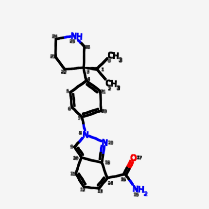 CC(C)[C@@]1(c2ccc(-n3cc4cccc(C(N)=O)c4n3)cc2)CCCNC1